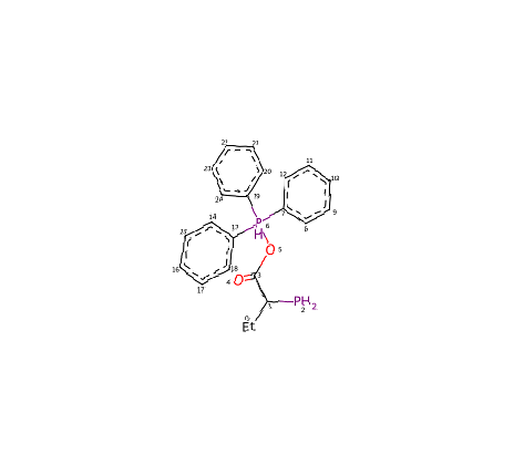 CCC(P)C(=O)O[PH](c1ccccc1)(c1ccccc1)c1ccccc1